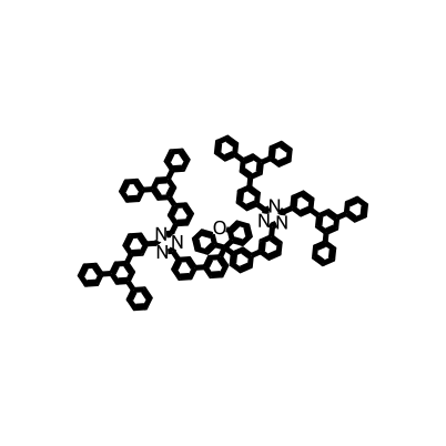 c1ccc(-c2cc(-c3ccccc3)cc(-c3cccc(-c4nc(-c5cccc(-c6cc(-c7ccccc7)cc(-c7ccccc7)c6)c5)nc(-c5cccc(-c6cccc(C7(c8cccc(-c9cccc(-c%10nc(-c%11cccc(-c%12cc(-c%13ccccc%13)cc(-c%13ccccc%13)c%12)c%11)nc(-c%11cccc(-c%12cc(-c%13ccccc%13)cc(-c%13ccccc%13)c%12)c%11)n%10)c9)c8)c8ccccc8Oc8ccccc87)c6)c5)n4)c3)c2)cc1